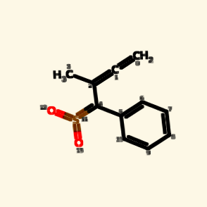 C=C=C(C)C(c1ccccc1)=S(=O)=O